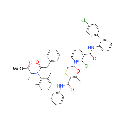 CC1=C(C(=O)Nc2ccccc2)SCCO1.COC(=O)[C@@H](C)N(C(=O)Cc1ccccc1)c1c(C)cccc1C.O=C(Nc1ccccc1-c1ccc(Cl)cc1)c1cccnc1Cl